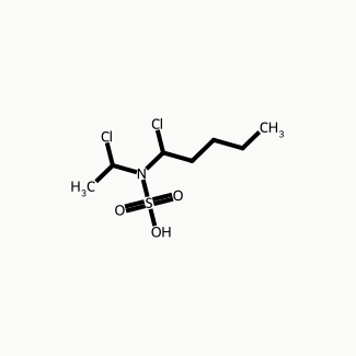 CCCCC(Cl)N(C(C)Cl)S(=O)(=O)O